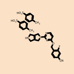 Cc1ccc(S(=O)(=O)O)cc1.Cc1ccc(S(=O)(=O)O)cc1.N#Cc1ccc(COc2ccnc(N3CC4=C(CNC4)C3)n2)c(F)c1